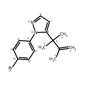 C=C(C)C(C)(C)c1ccnn1-c1ccc(Br)cc1